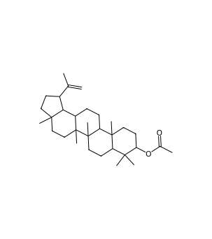 C=C(C)C1CCC2(C)CCC3(C)C(CCC4C5(C)CCC(OC(C)=O)C(C)(C)C5CCC43C)C12